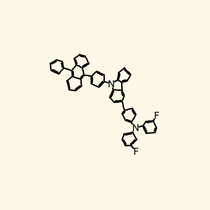 Fc1cccc(N(c2ccc(-c3ccc4c(c3)c3ccccc3n4-c3ccc(-c4c5ccccc5c(-c5ccccc5)c5ccccc45)cc3)cc2)c2cccc(F)c2)c1